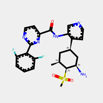 C[C@H]1C[C@@H](c2ccncc2NC(=O)c2ccnc(-c3c(F)cccc3F)n2)C[C@@H](N)[C@H]1S(C)(=O)=O